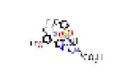 CCOc1cc(C)cc(-c2cnc3c(c2)N(S(=O)(=O)c2cccc(C(F)(F)F)c2)C[C@@H]2CN(CCC(=O)O)CCN32)c1